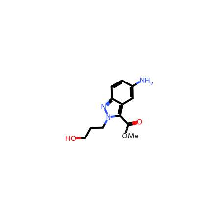 COC(=O)c1c2cc(N)ccc2nn1CCCO